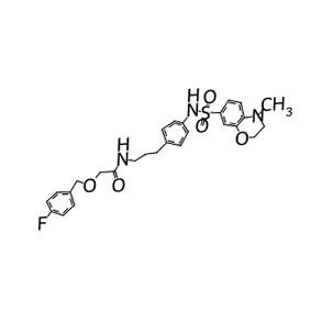 CN1CCOc2cc(S(=O)(=O)Nc3ccc(CCCNC(=O)COCc4ccc(F)cc4)cc3)ccc21